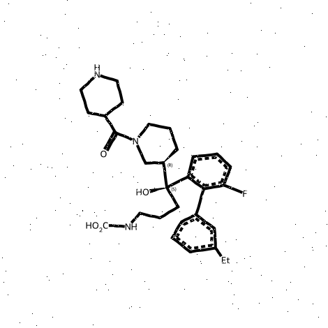 CCc1cccc(-c2c(F)cccc2[C@](O)(CCCNC(=O)O)[C@@H]2CCCN(C(=O)C3CCNCC3)C2)c1